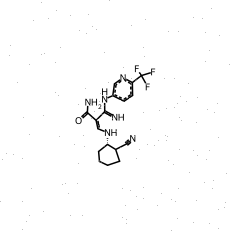 N#CC1CCCC[C@@H]1N/C=C(\C(=N)Nc1ccc(C(F)(F)F)nc1)C(N)=O